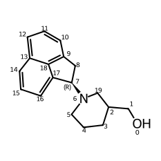 OCC1CCCN([C@@H]2Cc3cccc4cccc2c34)C1